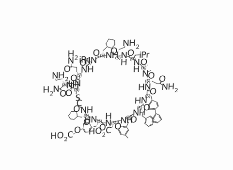 Cc1cccc(C[C@@H]2NC(=O)[C@H](CC(=O)O)NC(=O)[C@H](Cc3ccc(OCC(=O)O)cc3)NC(=O)[C@H](CC3CCCCC3)NC(=O)CSC[C@@H](C(=O)N[C@@H](CCN)C(N)=O)NC(=O)[C@H](CCC(N)=O)NC(=O)[C@H](C(C)C)NC(=O)[C@H](CC3CCCCC3)NC(=O)[C@H](CCN)NC(=O)[C@@H](CC(C)C)NC(=O)[C@H](C)N(C)C(=O)[C@H](CCC(N)=O)NC(=O)[C@H](Cc3ccc(-c4ccccc4)cc3)NC(=O)[C@H](CCc3ccccc3)NC2=O)c1